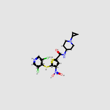 O=C(NC1CCN(C2CC2)CC1)c1cc([N+](=O)[O-])c(Sc2c(Cl)cncc2Cl)s1